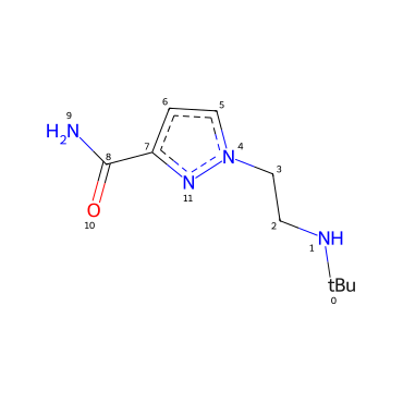 CC(C)(C)NCCn1ccc(C(N)=O)n1